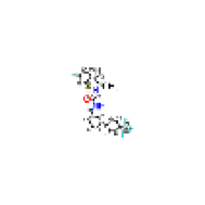 CC(C)N(CC(=O)NCc1cccc(-c2ccc(C(F)(F)F)cc2)c1)Sc1cccc(F)c1